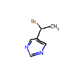 CC(Br)c1cncnc1